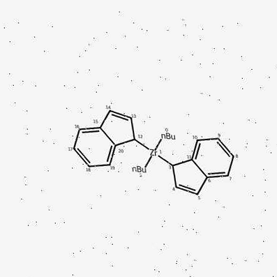 CCC[CH2][Zr]([CH2]CCC)([CH]1C=Cc2ccccc21)[CH]1C=Cc2ccccc21